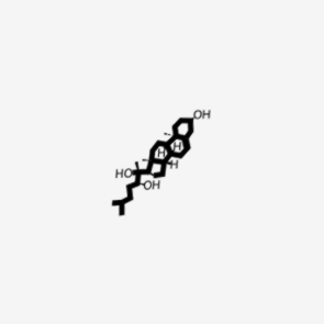 CC(C)CC[C@@H](O)[C@](C)(O)[C@H]1CC[C@H]2[C@@H]3CC=C4C[C@@H](O)CC[C@]4(C)[C@H]3CC[C@]12C